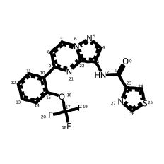 O=C(Nc1cnn2ccc(-c3ccccc3OC(F)(F)F)nc12)c1cscn1